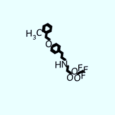 Cc1ccccc1CCOc1ccc(CCCNCCC(=O)OC(=O)C(F)(F)F)cc1